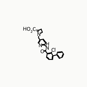 O=C(Nc1ccc(CN2CC[C@H]2C(=O)O)cn1)c1cccc(-c2ccccc2)c1Cl